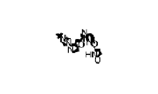 CC(C)(C)N1CCN(c2nccc3oc(-c4cnc5ccc(OC[C@H]6CCC(=O)N6)nn45)cc23)CC1